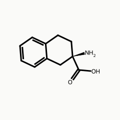 N[C@]1(C(=O)O)CCc2ccccc2C1